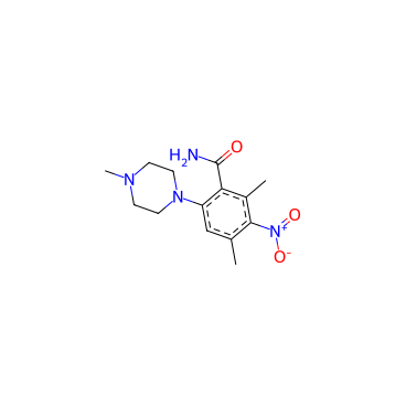 Cc1cc(N2CCN(C)CC2)c(C(N)=O)c(C)c1[N+](=O)[O-]